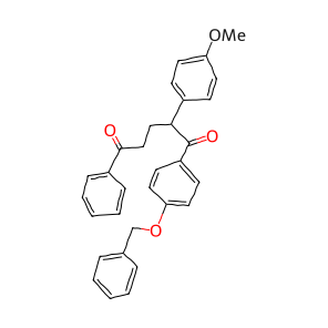 COc1ccc(C(CCC(=O)c2ccccc2)C(=O)c2ccc(OCc3ccccc3)cc2)cc1